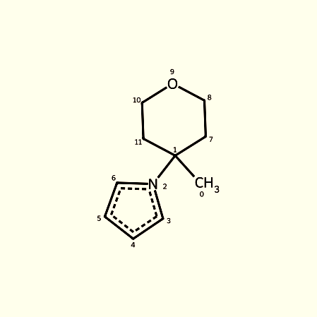 CC1(n2cccc2)CCOCC1